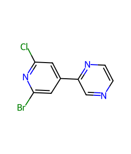 Clc1cc(-c2cnccn2)cc(Br)n1